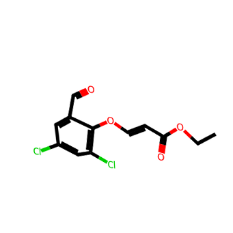 CCOC(=O)C=COc1c(Cl)cc(Cl)cc1C=O